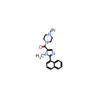 CC(C)N1CCN(C(=O)c2cnc(-c3cccc4ccccc34)n2C)CC1